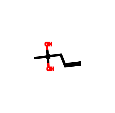 C=CC[Si](C)(O)O